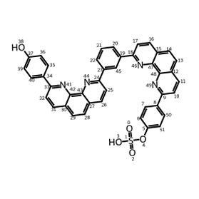 O=S(=O)(O)Oc1ccc(-c2ccc3ccc4ccc(-c5cccc(-c6ccc7ccc8ccc(-c9ccc(O)cc9)nc8c7n6)c5)nc4c3n2)cc1